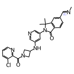 C/N=C/c1ccc2c(c1)C(C)(C)N(c1cncc(NC3CN(C(=O)c4ncccc4Cl)C3)c1)C2=O